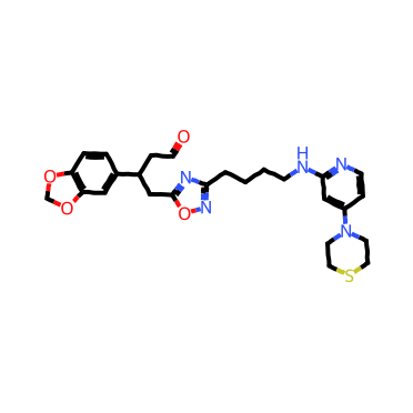 O=CCC(Cc1nc(CCCCNc2cc(N3CCSCC3)ccn2)no1)c1ccc2c(c1)OCO2